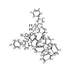 CC1(C)c2cc(-c3ccccc3)ccc2-c2ccc(N(c3ccc4c(c3)C(C)(C)c3cc(-c5ccccc5)ccc3-4)c3cccc4c3-c3ccccc3C43c4ccccc4-c4ccccc43)cc21